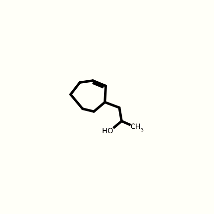 CC(O)CC1C=CCCCC1